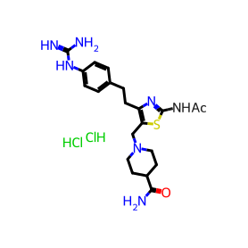 CC(=O)Nc1nc(CCc2ccc(NC(=N)N)cc2)c(CN2CCC(C(N)=O)CC2)s1.Cl.Cl